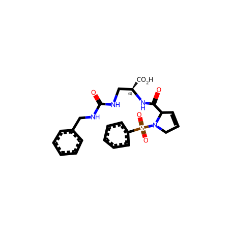 O=C(NCc1ccccc1)NC[C@H](NC(=O)C1C=CCN1S(=O)(=O)c1ccccc1)C(=O)O